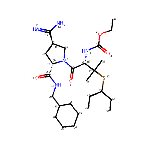 CCOC(=O)N[C@@H](C(=O)N1C[C@H](C(=N)N)C[C@H]1C(=O)NCC1CCCCC1)C(C)(C)SC(CC)CC